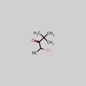 BC(C#N)C(=O)C(C)(C)C